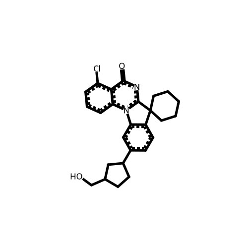 O=c1nc2n(c3cccc(Cl)c13)-c1cc(C3CCC(CO)C3)ccc1C21CCCCC1